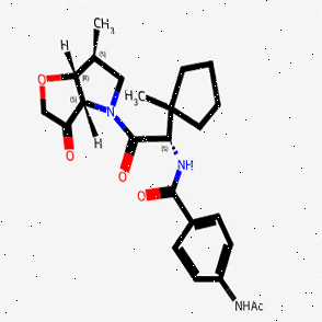 CC(=O)Nc1ccc(C(=O)N[C@H](C(=O)N2C[C@H](C)[C@H]3OCC(=O)[C@H]32)C2(C)CCCC2)cc1